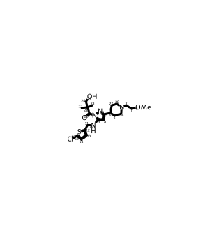 COCCN1CCC(c2cc(NCc3ccc(Cl)s3)n(C(=O)C(C)(C)CO)n2)CC1